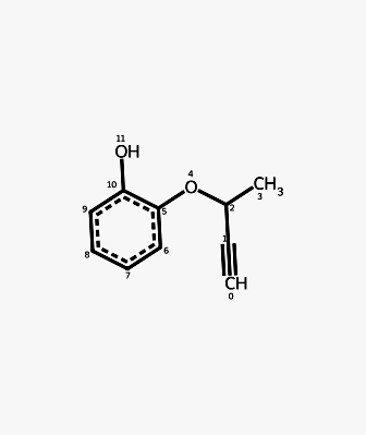 C#CC(C)Oc1ccccc1O